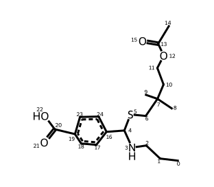 CCCNC(SCC(C)(C)CCOC(C)=O)c1ccc(C(=O)O)cc1